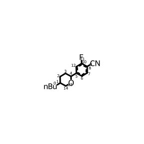 CCCCC1CCC(c2ccc(C#N)c(F)c2)OC1